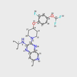 Cc1cc2nc(NC(C)C)c(N3CCC(Oc4ccc(OC(F)F)cc4F)CC3)nc2cn1